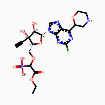 C#C[C@@]1(O)[C@@H](COC(C(=O)OCC)P(=O)(O)O)O[C@@H](n2cnc3c(C4CNCCO4)nc(Cl)nc32)[C@@H]1O